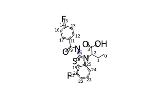 CCC(C(=O)O)n1/c(=N/C(=O)c2ccc(F)cc2)sc2c(F)cccc21